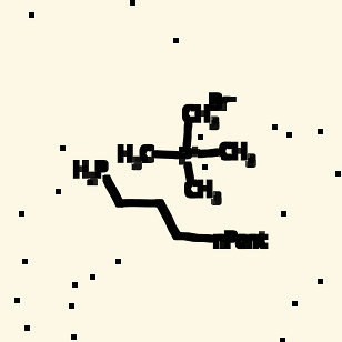 CCCCCCCCP.C[P+](C)(C)C.[Br-]